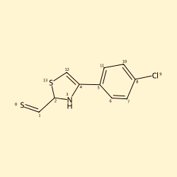 S=CC1NC(c2ccc(Cl)cc2)=CS1